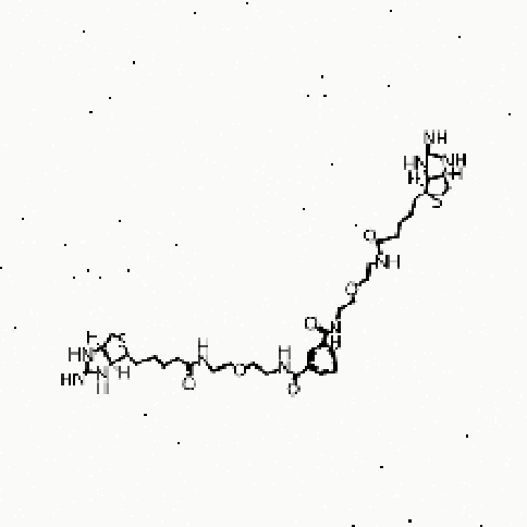 N=C1N[C@H]2[C@H](CS[C@H]2CCCCC(=O)NCCOCCNC(=O)c2cccc(C(=O)NCCOCCNC(=O)CCCC[C@@H]3SC[C@@H]4NC(=N)N[C@@H]43)c2)N1